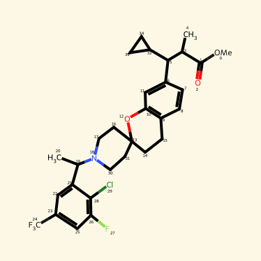 COC(=O)C(C)C(c1ccc2c(c1)OC1(CC2)CCN(C(C)c2cc(C(F)(F)F)cc(F)c2Cl)CC1)C1CC1